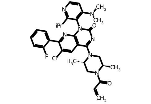 C=CC(=O)N1C[C@H](C)N(c2nc(=O)n(-c3c(N(C)C)ccnc3C(C)C)c3nc(-c4ccccc4F)c(Cl)cc23)C[C@H]1C